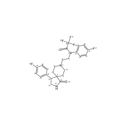 O=C(N(CCN1CCC2(CC1)C(=O)NCC2c1ccc(F)cc1)c1ccc(F)cc1)C(F)(F)F